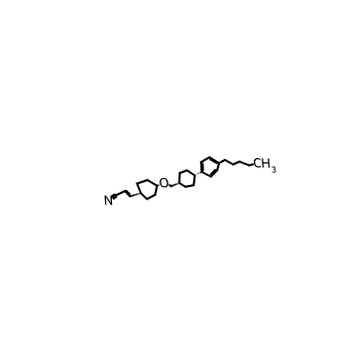 CCCCCc1ccc([C@H]2CC[C@H](CO[C@H]3CC[C@H](C=CC#N)CC3)CC2)cc1